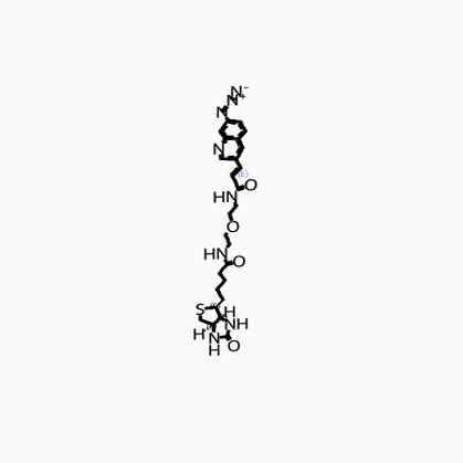 [N-]=[N+]=Nc1ccc2cc(/C=C/C(=O)NCCOCCNC(=O)CCCC[C@@H]3SC[C@@H]4NC(=O)N[C@@H]43)cnc2c1